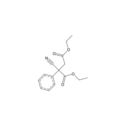 CCOC(=O)CC(C#N)(C(=O)OCC)c1ccccc1